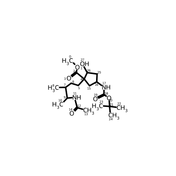 COC(=O)C1(CCC(C)C(C)NC(C)=O)CC(NC(=O)OC(C)(C)C)CC1O